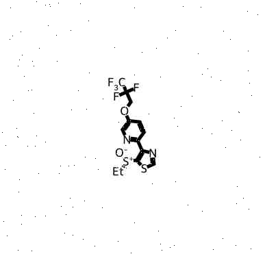 CC[S+]([O-])c1scnc1-c1ccc(OCC(F)(F)C(F)(F)F)cn1